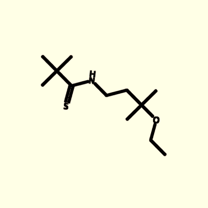 CCOC(C)(C)CCNC(=S)C(C)(C)C